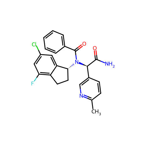 Cc1ccc([C@H](C(N)=O)N(C(=O)c2ccccc2)[C@@H]2CCc3c(F)cc(Cl)cc32)cn1